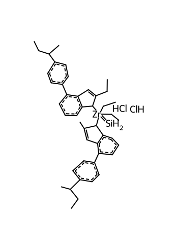 CCC1=Cc2c(-c3ccc(C(C)CC)cc3)cccc2[CH]1[Zr](=[SiH2])([CH2]C)([CH2]C)[CH]1C(C)=Cc2c(-c3ccc(C(C)CC)cc3)cccc21.Cl.Cl